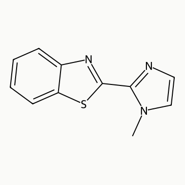 Cn1ccnc1-c1nc2ccccc2s1